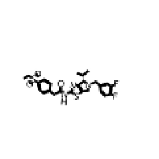 CCS(=O)(=O)c1ccc(CC(=O)Nc2nc3c(s2)CN(Cc2ccc(F)c(F)c2)[C@H]3C(C)C)cc1